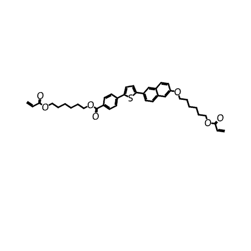 C=CC(=O)OCCCCCCOC(=O)c1ccc(-c2ccc(-c3ccc4cc(OCCCCCCOC(=O)C=C)ccc4c3)s2)cc1